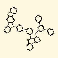 c1ccc(-c2nc(-c3ccccc3)nc(N3c4ccc(-c5ccc(-n6c7ccccc7c7cc8oc9ccccc9c8cc76)cc5)cc4-c4nc5ccccc5c5cccc3c45)n2)cc1